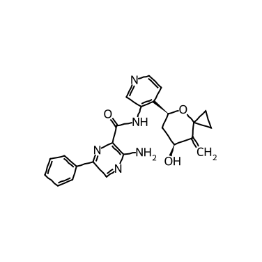 C=C1[C@@H](O)C[C@@H](c2ccncc2NC(=O)c2nc(-c3ccccc3)cnc2N)OC12CC2